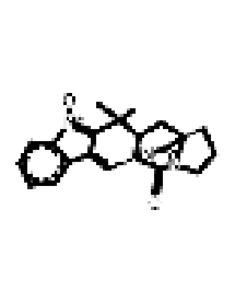 CC1(C)C2=[N+]([O-])c3ccccc3C2=C[C@@]23NC(=O)[C@]4(CCCN4C2=O)CC13